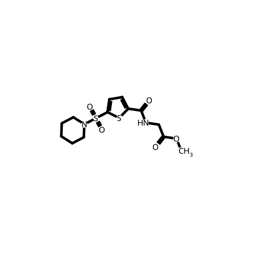 COC(=O)CNC(=O)c1ccc(S(=O)(=O)N2CCCCC2)s1